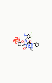 C=CCN1CC(=O)N2[C@H](Cc3ccc(OP(=O)(O)O)cc3)C(=O)N(Cc3cc(F)c(F)cc3N(C)C)C[C@@H]2N1C(=O)NCc1ccccc1